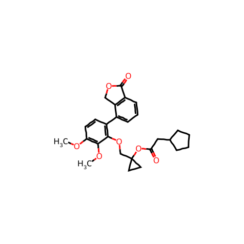 COc1ccc(-c2cccc3c2COC3=O)c(OCC2(OC(=O)CC3CCCC3)CC2)c1OC